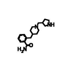 NC(=O)c1ccccc1CC1CCN(CC2CCNC2)CC1